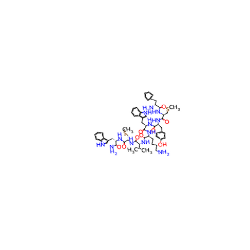 CSC[C@H](NC(=O)[C@H](N)Cc1ccccc1)C(=O)N[C@@H](Cc1ccc(O)cc1)C(=O)N[C@H](Cc1c[nH]c2ccccc12)C(=O)N[C@@H](CCCCN)C(=O)N[C@@H](C(=O)N[C@@H](CSC)C(=O)N[C@@H](Cc1c[nH]c2ccccc12)C(N)=O)C(C)C